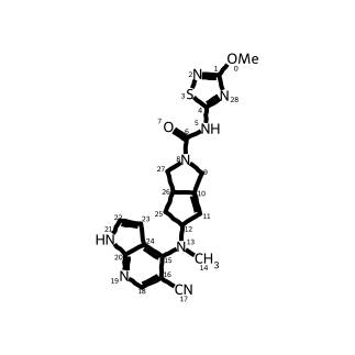 COc1nsc(NC(=O)N2CC3=CC(N(C)c4c(C#N)cnc5[nH]ccc45)CC3C2)n1